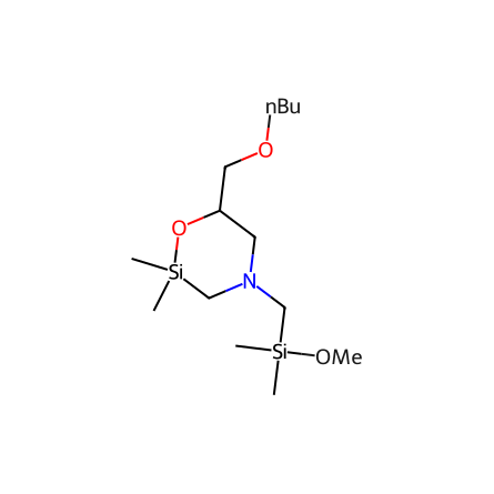 CCCCOCC1CN(C[Si](C)(C)OC)C[Si](C)(C)O1